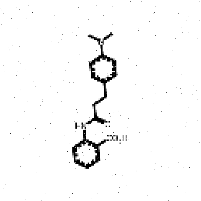 CN(C)c1ccc(CCC(=O)Nc2ccccc2C(=O)O)cc1